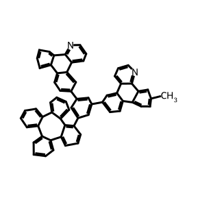 Cc1ccc2c3ccc(-c4cc(-c5ccc6c7ccccc7c7ncccc7c6c5)cc(-c5cccc6c5-c5ccccc5-c5ccccc5-c5ccccc5-6)c4)cc3c3cccnc3c2c1